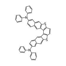 c1ccc(N(c2ccccc2)c2ccc3cc4c(cc3c2)sc2ccc3sc5cc6cc(N(c7ccccc7)c7ccccc7)ccc6cc5c3c24)cc1